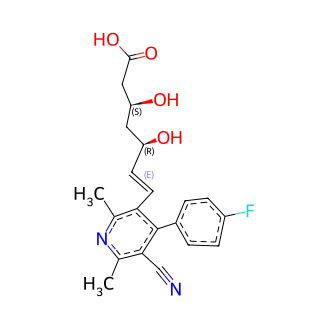 Cc1nc(C)c(/C=C/[C@H](O)C[C@H](O)CC(=O)O)c(-c2ccc(F)cc2)c1C#N